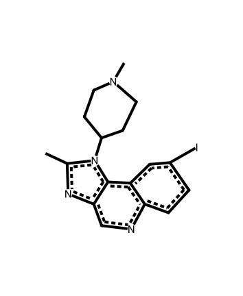 Cc1nc2cnc3ccc(I)cc3c2n1C1CCN(C)CC1